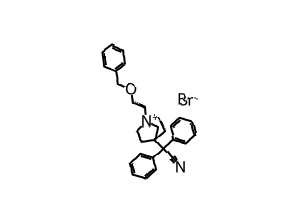 N#CC(c1ccccc1)(c1ccccc1)C12CC[N+](CCOCc3ccccc3)(CC1)C2.[Br-]